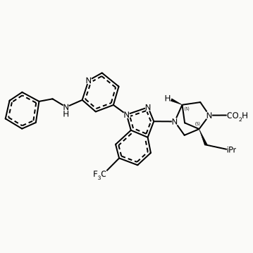 CC(C)C[C@@]12C[C@@H](CN1C(=O)O)N(c1nn(-c3ccnc(NCc4ccccc4)c3)c3cc(C(F)(F)F)ccc13)C2